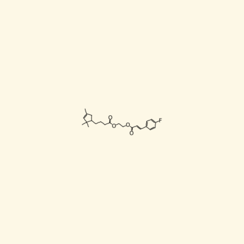 CC1=CC(C)(C)C(CCCC(=O)OCCOC(=O)/C=C/c2ccc(F)cc2)C1